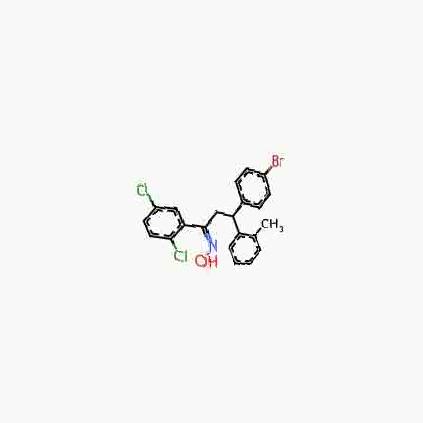 Cc1ccccc1C(C/C(=N/O)c1cc(Cl)ccc1Cl)c1ccc(Br)cc1